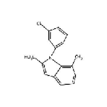 Cc1cccc2cc(C(=O)O)n(-c3cccc(Cl)c3)c12